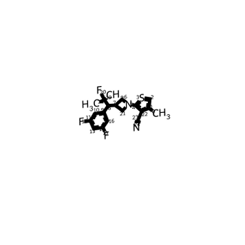 Cc1csc(N2CC(C(c3cc(F)cc(F)c3)C(C)(C)F)C2)c1C#N